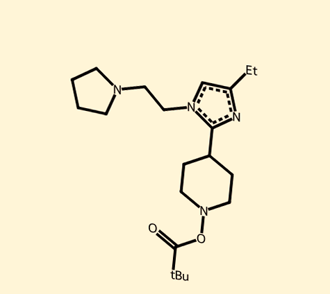 CCc1cn(CCN2CCCC2)c(C2CCN(OC(=O)C(C)(C)C)CC2)n1